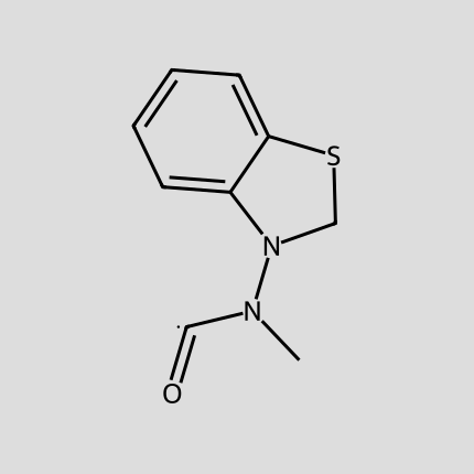 CN([C]=O)N1CSc2ccccc21